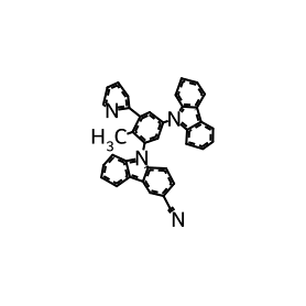 Cc1c(-c2ccccn2)cc(-n2c3ccccc3c3ccccc32)cc1-n1c2ccccc2c2cc(C#N)ccc21